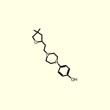 CC1(C)COC(CCN2CCN(c3ccc(O)cc3)CC2)C1